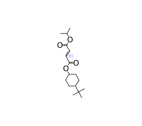 CC(C)OC(=O)/C=C/C(=O)OC1CCC(C(C)(C)C)CC1